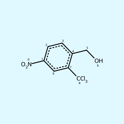 O=[N+]([O-])c1ccc(CO)c(C(Cl)(Cl)Cl)c1